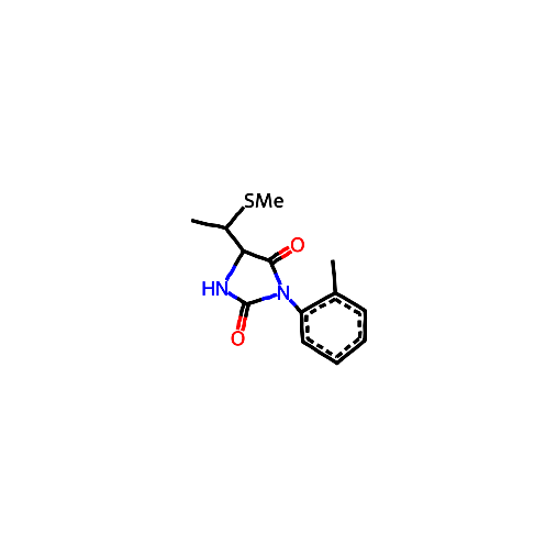 CSC(C)C1NC(=O)N(c2ccccc2C)C1=O